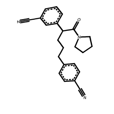 N#Cc1ccc(CCCC(C(=O)N2CCCC2)c2cccc(C#N)c2)cc1